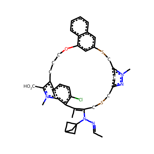 C/C=N/N(/C1=C(\C)c2c(Cl)ccc3c(c(C(=O)O)n(C)c23)CCCOc2cc(cc3ccccc23)SCc2cc(nn2C)CSC1)C12CC(C1)C2